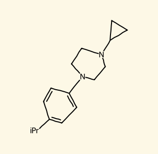 CC(C)c1ccc(N2CCN(C3CC3)CC2)cc1